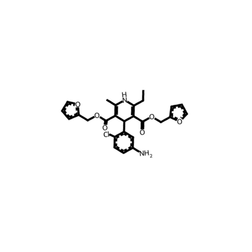 CCC1=C(C(=O)OCc2ccco2)C(c2cc(N)ccc2Cl)C(C(=O)OCc2ccco2)=C(C)N1